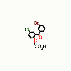 O=C(O)COc1ccc(Cl)cc1C(=O)c1cccc(Br)c1